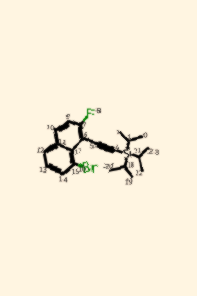 CC(C)[Si](C#Cc1c(F)ccc2cccc(Br)c12)(C(C)C)C(C)C